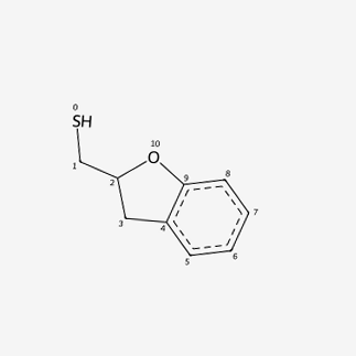 SCC1Cc2ccccc2O1